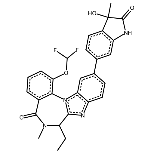 CCC1c2nc3ccc(-c4ccc5c(c4)NC(=O)C5(C)O)cc3n2-c2c(OC(F)F)cccc2C(=O)N1C